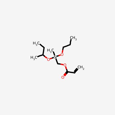 C=CC(=O)OC[Si](C)(OCCC)OC(C)CC